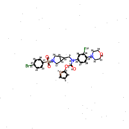 O=C(Oc1cccs1)N(CC1C2CN(S(=O)(=O)c3ccc(Br)cc3)CC12)c1ccc(N2CCOCC2)c(F)c1